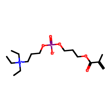 C=C(C)C(=O)OCCCOP(=O)([O-])OCCC[N+](CC)(CC)CC